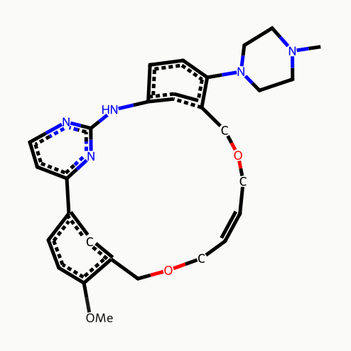 COc1ccc2cc1COC/C=C\COCc1cc(ccc1N1CCN(C)CC1)Nc1nccc-2n1